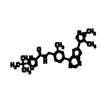 Cc1cc(-c2ncnn3cc(-c4cnn(C)c4C)cc23)ccc1CNC(=O)c1coc(C(C)(C)C)n1